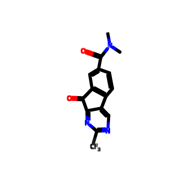 CN(C)C(=O)c1ccc2c(c1)C(=O)c1nc(C(F)(F)F)ncc1-2